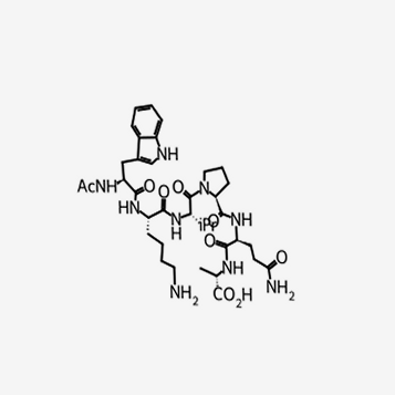 CC(=O)N[C@@H](Cc1c[nH]c2ccccc12)C(=O)N[C@@H](CCCCN)C(=O)N[C@H](C(=O)N1CCC[C@H]1C(=O)N[C@@H](CCC(N)=O)C(=O)N[C@@H](C)C(=O)O)C(C)C